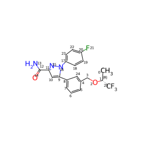 C[C@@H](OCc1cccc(-c2cc(C(N)=O)nn2-c2ccc(F)cc2)c1)C(F)(F)F